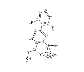 CC1(C)C2CC[C@H]1c1cc(-c3c(F)cccc3F)nnc1C2CO